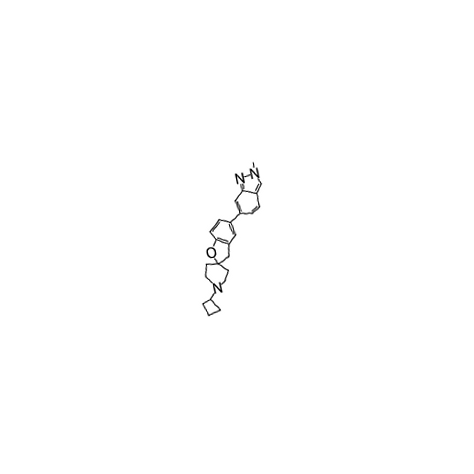 Cn1cc2ccc(-c3ccc4c(c3)CC3(CCN(C5CCC5)CC3)O4)cc2n1